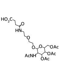 CC(=O)NC1C(OCCOCCNC(=O)CCC(=O)O)OC(COC(C)=O)C(OC(C)=O)C1OC(C)=O